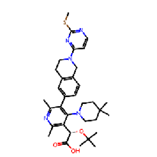 CSc1nccc(N2CCc3cc(-c4c(C)nc(C)c([C@H](OC(C)(C)C)C(=O)O)c4N4CCC(C)(C)CC4)ccc3C2)n1